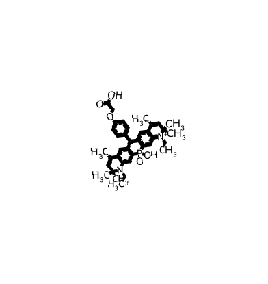 CCN1c2cc3c(cc2C(C)=CC1(C)C)C(c1ccc(OCC(=O)O)cc1)=c1cc2c(cc1P3(=O)O)=[N+](CC)C(C)(C)C=C2C